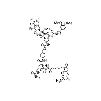 CC[C@H](C)[C@@H]([C@@H](CC(=O)N1C[C@@H](NC(=O)OCc2ccc(NC(=O)[C@H](CCCNC(N)=O)NC(=O)[C@@H](NC(=O)CCCCCN3C(=O)CC(SCC4(CC(N)=O)CC4)C3=O)C(C)C)cc2)C[C@H]1[C@H](OC)[C@@H](C)C(=O)NCC(=O)c1ccc(OC)c(OC)c1)OC)N(C)C(=O)[C@@H](NC(=O)[C@H](C(C)C)N(C)C)C(C)C